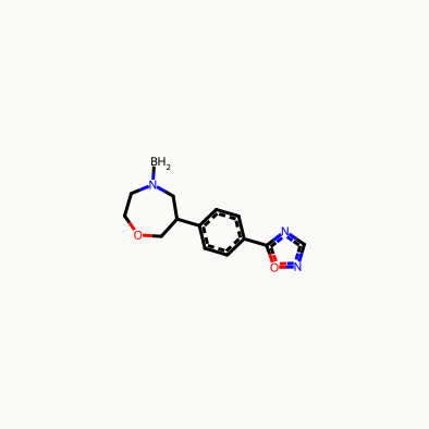 BN1CCOCC(c2ccc(-c3ncno3)cc2)C1